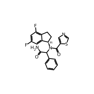 NC(=O)C(c1ccccc1)N(C(=O)c1cncs1)[C@@H]1CCc2c(F)cc(F)cc21